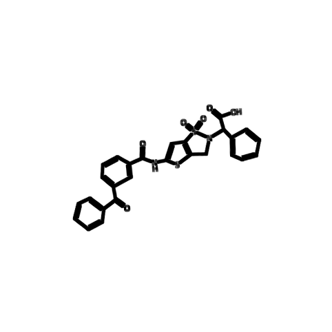 O=C(Nc1cc2c(s1)CN(C(C(=O)O)c1ccccc1)S2(=O)=O)c1cccc(C(=O)c2ccccc2)c1